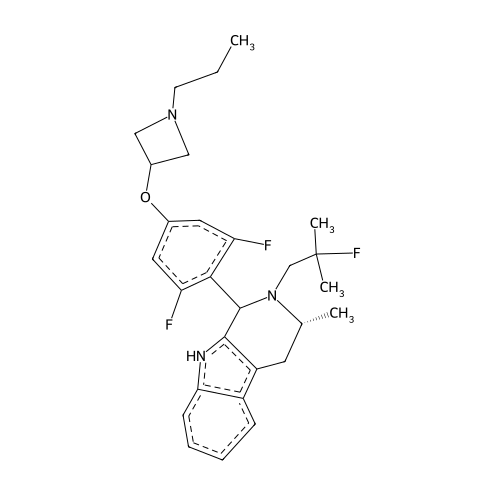 CCCN1CC(Oc2cc(F)c(C3c4[nH]c5ccccc5c4C[C@@H](C)N3CC(C)(C)F)c(F)c2)C1